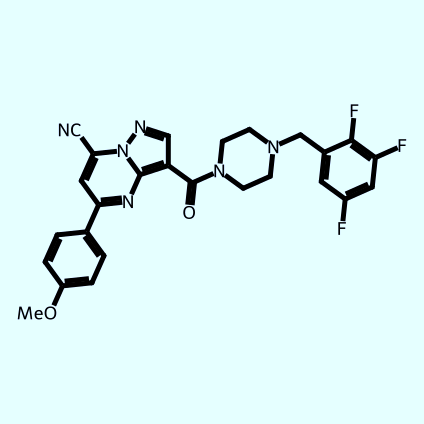 COc1ccc(-c2cc(C#N)n3ncc(C(=O)N4CCN(Cc5cc(F)cc(F)c5F)CC4)c3n2)cc1